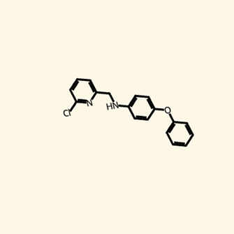 Clc1cccc(CNc2ccc(Oc3ccccc3)cc2)n1